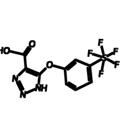 O=C(O)c1nn[nH]c1Oc1cccc(S(F)(F)(F)(F)F)c1